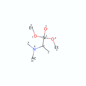 CCO[Si]([O])(OCC)C(C)N(C)C(C)=O